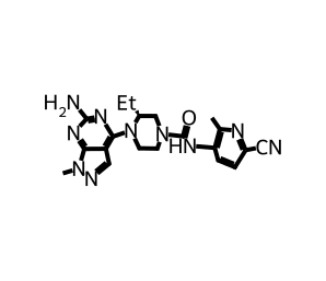 CC[C@H]1CN(C(=O)Nc2ccc(C#N)nc2C)CCN1c1nc(N)nc2c1cnn2C